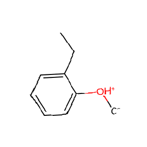 [CH2-][OH+]c1ccccc1CC